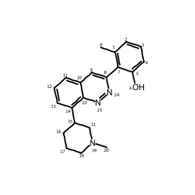 Cc1cccc(O)c1-c1cc2cccc(C3CCCN(C)C3)c2nn1